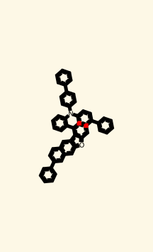 c1ccc(-c2ccc(N(c3ccc(-c4ccccc4)cc3)c3ccccc3-c3cccc4oc5cc6cc(-c7ccccc7)ccc6cc5c34)cc2)cc1